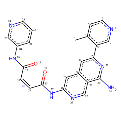 Cc1ccncc1-c1cc2cc(NC(=O)/C=C\C(=O)Nc3cccnc3)ncc2c(N)n1